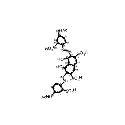 CC(=O)Nc1ccc(/N=N/c2c(S(=O)(=O)O)cc3cc(S(=O)(=O)O)c(/N=N/c4ccc(NC(C)=O)cc4S(=O)(=O)O)c(O)c3c2O)c(S(=O)(=O)O)c1